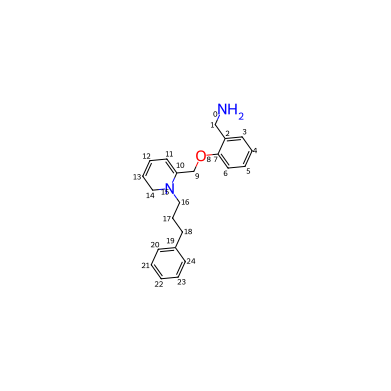 NCc1ccccc1OCC1=CC=CCN1CCCc1ccccc1